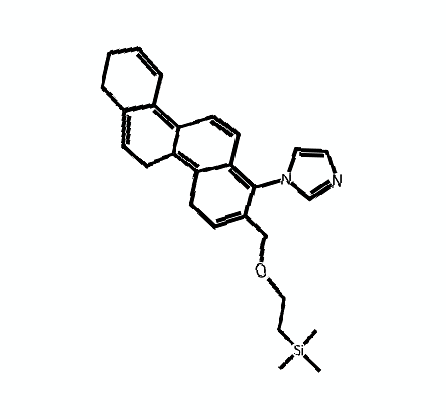 C[Si](C)(C)CCOCC1=CCc2c3c(ccc2=C1n1ccnc1)=C1C=CCCC1=CC3